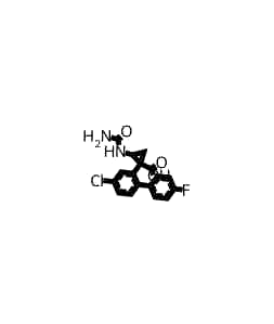 NC(=O)NC1CC1(C(=O)O)c1cc(Cl)ccc1-c1ccc(F)cc1